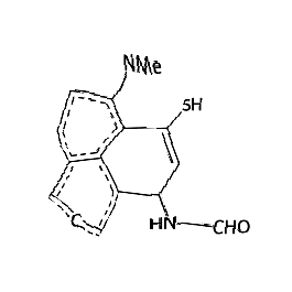 CNc1ccc2cccc3c2c1C(S)=CC3NC=O